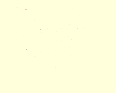 CCCCC(C)(CC)c1ccc(N(c2ccc(C(O)c3ccccc3)cc2)c2ccc(C(c3cccc4ccccc34)C(C)(CC)CCCC)cc2)cc1